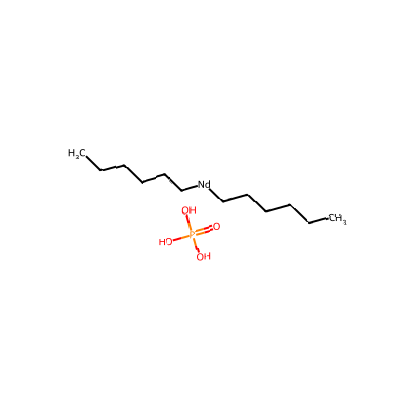 CCCCC[CH2][Nd][CH2]CCCCC.O=P(O)(O)O